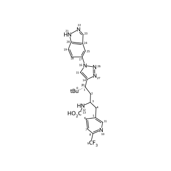 CC(C)(C)[C@@H](CC(Cc1ccc(C(F)(F)F)nc1)NC(=O)O)c1cn(-c2ccc3[nH]ncc3c2)nn1